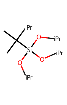 CC(C)O[Si](OC(C)C)(OC(C)C)C(C)(C)C(C)C